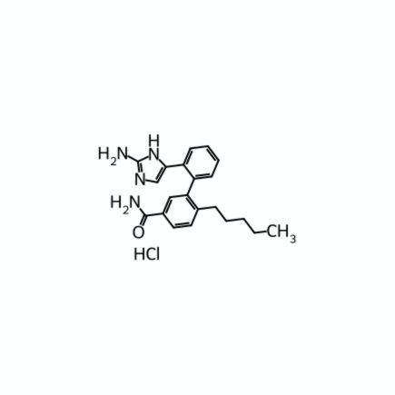 CCCCCc1ccc(C(N)=O)cc1-c1ccccc1-c1cnc(N)[nH]1.Cl